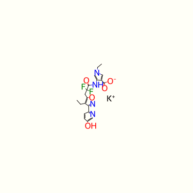 CCc1c(-c2ccc(O)cn2)noc1CC(F)(F)C(=O)Nc1cn(CC)cc1C(=O)[O-].[K+]